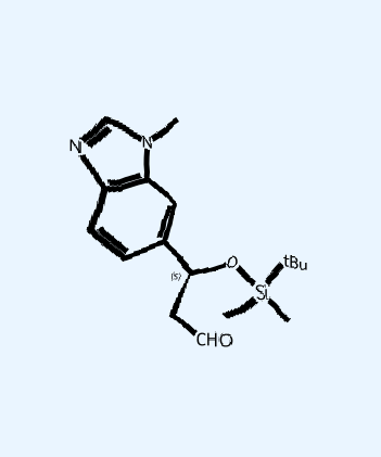 Cn1cnc2ccc([C@H](CC=O)O[Si](C)(C)C(C)(C)C)cc21